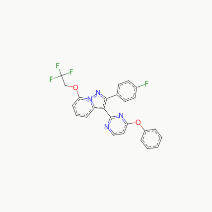 Fc1ccc(-c2nn3c(OCC(F)(F)F)cccc3c2-c2nccc(Oc3ccccc3)n2)cc1